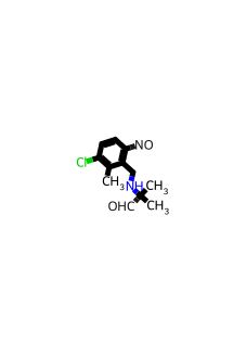 Cc1c(Cl)ccc(N=O)c1CNC(C)(C)C=O